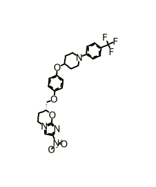 O=[N+]([O-])c1cn2c(n1)O[C@@H](COc1ccc(OC3CCN(c4ccc(C(F)(F)F)cc4)CC3)cc1)CC2